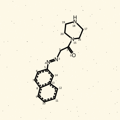 O=C(CN=Nc1ccc2ccccc2c1)N1CCNCC1